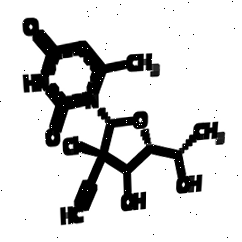 C#C[C@@]1(Cl)C(O)[C@@H]([C@H](C)O)O[C@H]1n1c(C)cc(=O)[nH]c1=O